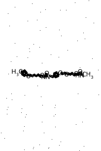 CNC(=O)COCCCCOCCOc1ccc(CCNC(=O)COCCCCCCOc2ccc(C)cc2)cc1